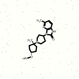 CCCO[C@H]1CC[C@@](C)(N2CCC(n3c(=O)[nH]c4ccc(C)nc43)CC2)CC1